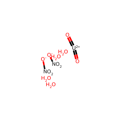 O.O.O.O.O=[N+]([O-])[O-].O=[N+]([O-])[O-].[O]=[U+2]=[O]